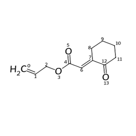 C=CCOC(=O)C=C1CCCCC1=O